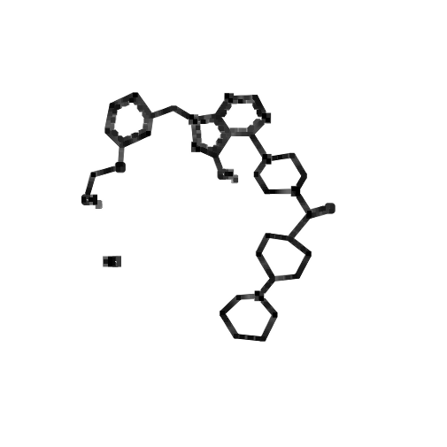 CCOc1cccc(Cn2nc(C)c3c(N4CCN(C(=O)C5CCC(N6CCCCC6)CC5)CC4)ncnc32)c1.Cl